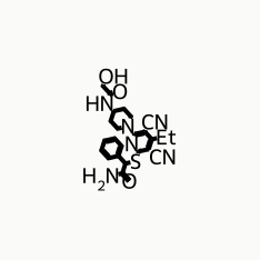 CCc1c(C#N)c(SC(C(N)=O)c2ccccc2)nc(N2CCC(NC(=O)CO)CC2)c1C#N